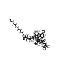 CCCCCCCCCCCCCC(F)C(F)(F)C(=O)O[C@@H]1C[C@@H](C(=O)N(C)C)N(C2(c3ccccc3OC)C(=O)N(S(=O)(=O)c3cc(Cl)c(Cl)s3)c3ccc(Cl)cc32)C1